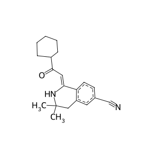 CC1(C)Cc2cc(C#N)ccc2C(=CC(=O)C2CCCCC2)N1